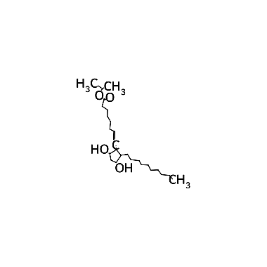 CCCCCCCCCC[C@@H]1[C@@H](CC=CCCCCCC(=O)OC(C)C)[C@@H](O)C[C@H]1O